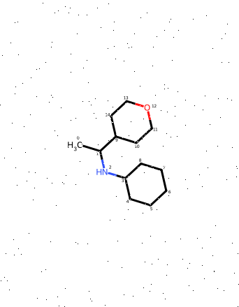 CC(NC1CCCCC1)C1CCOCC1